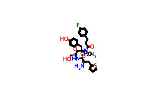 CN(C(=O)CCc1ccc(F)cc1)[C@]([C]=O)(Cc1ccc(O)cc1)C(=O)[C@H](CO)NC(=O)[C@@H](N)Cc1cccs1